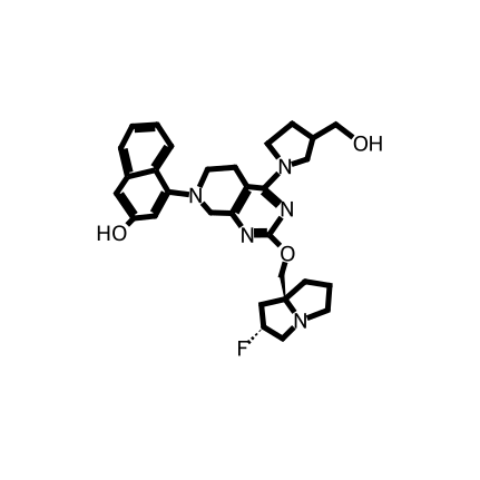 OCC1CCN(c2nc(OC[C@@]34CCCN3C[C@H](F)C4)nc3c2CCN(c2cc(O)cc4ccccc24)C3)C1